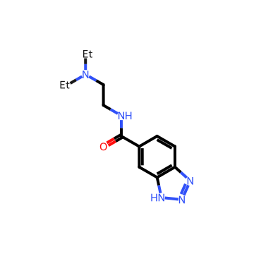 CCN(CC)CCNC(=O)c1ccc2nn[nH]c2c1